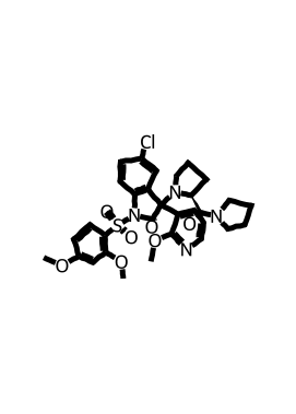 COc1ccc(S(=O)(=O)N2C(=O)C(c3cccnc3OC)(N3CCC[C@H]3C(=O)N3CCCC3)c3cc(Cl)ccc32)c(OC)c1